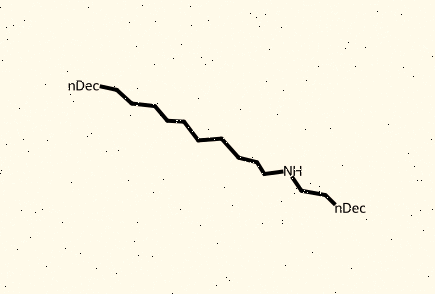 CCCCCCCCCCCCCCCCCCCCNCCCCCCCCCCCC